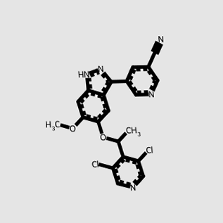 COc1cc2[nH]nc(-c3cncc(C#N)c3)c2cc1OC(C)c1c(Cl)cncc1Cl